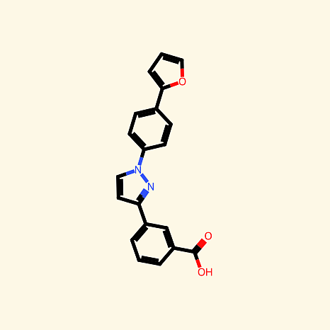 O=C(O)c1cccc(-c2ccn(-c3ccc(-c4ccco4)cc3)n2)c1